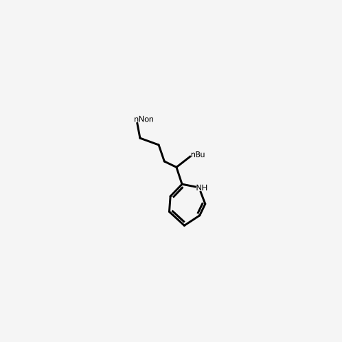 CCCCCCCCCCCCC(CCCC)C1=CC=CC=CN1